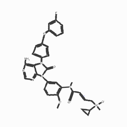 COc1ccc(-n2c(=O)n(-c3ccc(Oc4cccc(F)c4)cc3)c3c(N)ncnc32)cc1N(C)C(=O)/C=C/C[N+](C)([O-])C1CC1